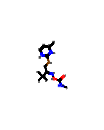 CNC(=O)ON=C(CSc1nccc(C)n1)C(C)(C)C